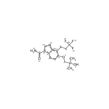 CC(C)(O)COc1ccc2c(C(N)=O)cnn2c1CCC(F)(F)F